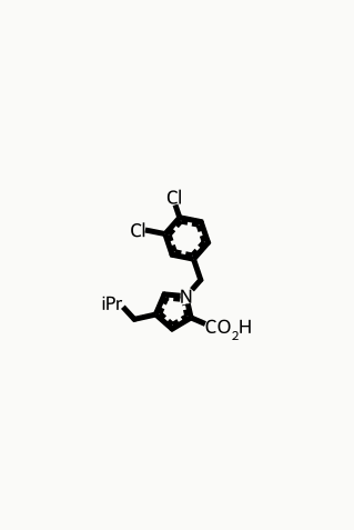 CC(C)Cc1cc(C(=O)O)n(Cc2ccc(Cl)c(Cl)c2)c1